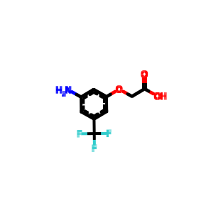 Nc1cc(OCC(=O)O)cc(C(F)(F)F)c1